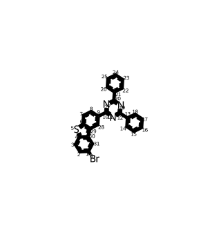 Brc1ccc2sc3ccc(-c4nc(-c5ccccc5)nc(-c5ccccc5)n4)cc3c2c1